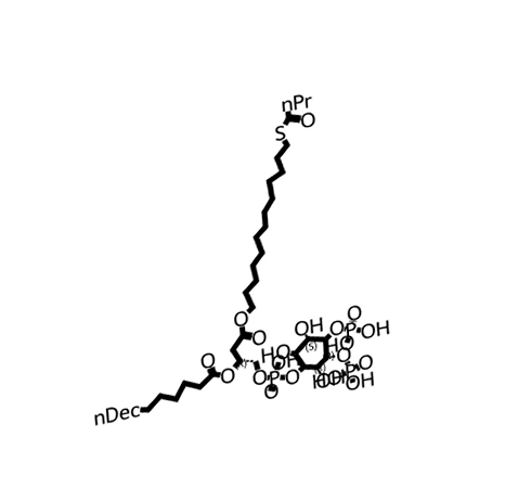 CCCCCCCCCCCCCCCC(=O)O[C@@H](COP(=O)(O)OC1C(O)[C@H](O)C(OP(=O)(O)O)[C@H](OP(=O)(O)O)[C@@H]1O)CC(=O)OCCCCCCCCCCCCCSC(=O)CCC